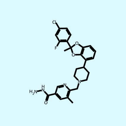 Cc1cc(C(=O)NN)cnc1CN1CCC(c2cccc3c2OC(C)(c2ccc(Cl)cc2F)O3)CC1